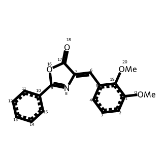 COc1cccc(/C=C2\N=C(c3ccccc3)OC2=O)c1OC